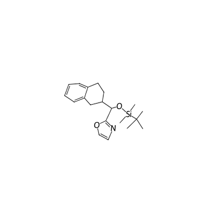 CC(C)(C)[Si](C)(C)OC(c1ncco1)C1CCc2ccccc2C1